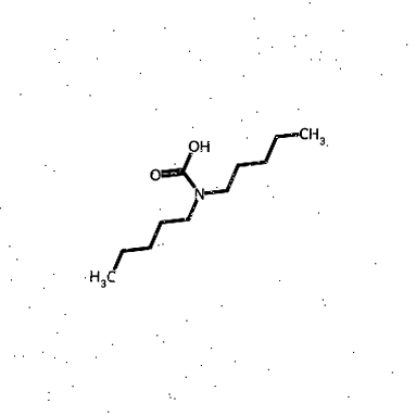 CCCCCN(CCCCC)C(=O)O